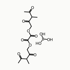 CC(=O)C(C)C(=O)COC(=O)C(=O)OCC(=O)C(C)C(C)=O.OB(O)O